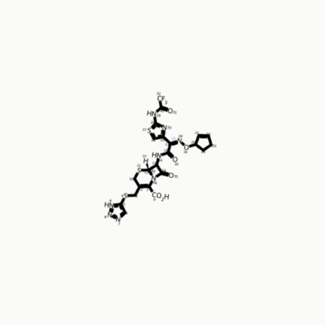 O=C(O)C1=C(CSc2cnn[nH]2)CS[C@@H]2C(NC(=O)/C(=N\OC3C=CCC3)c3csc(NC(=O)C(F)(F)F)n3)C(=O)N12